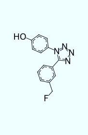 Oc1ccc(-n2nnnc2-c2cccc(CF)c2)cc1